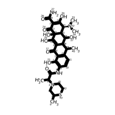 CC1CN(C(C)C(=O)Nc2ccc3c(c2O)C(=O)C2=C(O)C4(O)C(=O)C(C(N)=O)=C(O)[C@@H](N(C)C)C4C(O)C2C3C)CCS1